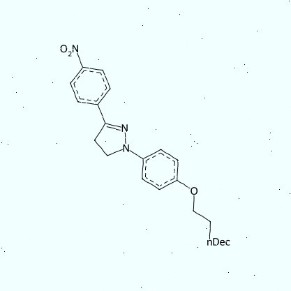 CCCCCCCCCCCCOc1ccc(N2CCC(c3ccc([N+](=O)[O-])cc3)=N2)cc1